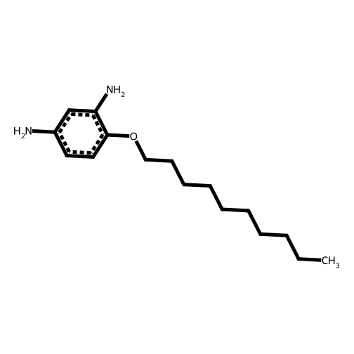 CCCCCCCCCCOc1ccc(N)cc1N